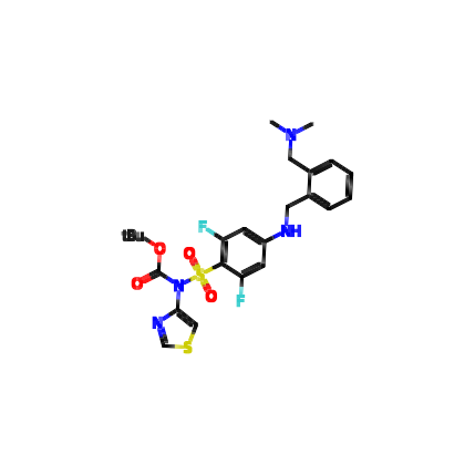 CN(C)Cc1ccccc1CNc1cc(F)c(S(=O)(=O)N(C(=O)OC(C)(C)C)c2cscn2)c(F)c1